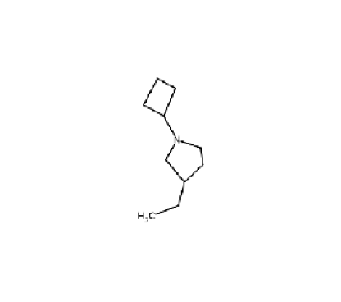 CCC1CCN(C2CCC2)C1